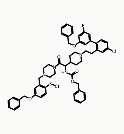 CCSc1ccc(OCc2ccccc2)cc1CN1CCN(C(=O)[C@H](NC(=O)OCc2ccccc2)C2CCN(CCc3cc(Cl)ccc3-c3cc(F)cc(OCc4ccccc4)c3)CC2)CC1